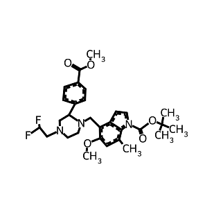 COC(=O)c1ccc(C2CN(CC(F)F)CCN2Cc2c(OC)cc(C)c3c2ccn3C(=O)OC(C)(C)C)cc1